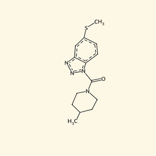 CSc1ccc2c(c1)nnn2C(=O)N1CCC(C)CC1